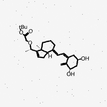 C=C1C(=CC=C2CCC[C@]3(C)C([C@H](C)OCC(=O)OC(C)(C)C)=CC[C@@H]23)C[C@@H](O)C[C@@H]1O